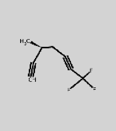 C#C[C@@H](C)CC#CC(F)(F)F